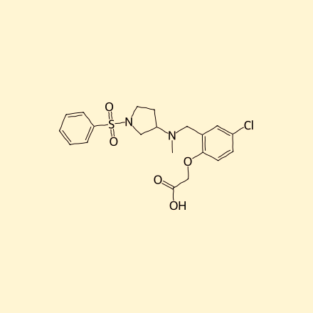 CN(Cc1cc(Cl)ccc1OCC(=O)O)C1CCN(S(=O)(=O)c2ccccc2)C1